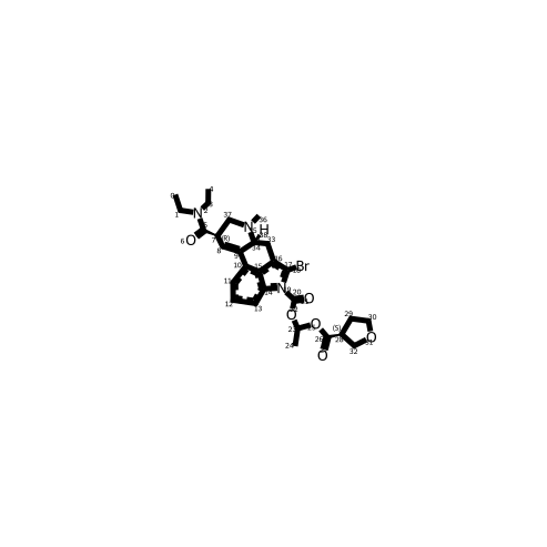 CCN(CC)C(=O)[C@@H]1C=C2c3cccc4c3c(c(Br)n4C(=O)OC(C)OC(=O)[C@H]3CCOC3)C[C@H]2N(C)C1